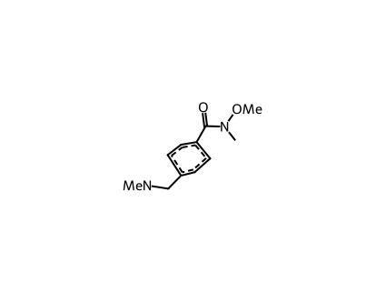 CNCc1ccc(C(=O)N(C)OC)cc1